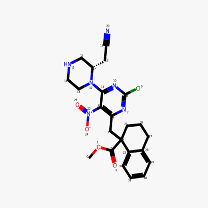 COC(=O)C1(Cc2nc(Cl)nc(N3CCNC[C@@H]3CC#N)c2[N+](=O)[O-])CCCc2ccccc21